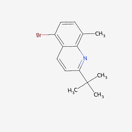 Cc1ccc(Br)c2ccc(C(C)(C)C)nc12